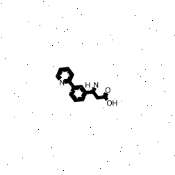 NC(CC(=O)O)c1cccc(-c2ccccn2)c1